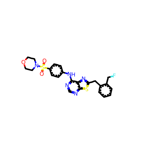 O=S(=O)(c1ccc(Nc2ncnc3sc(Cc4ccccc4CF)nc23)cc1)N1CCOCC1